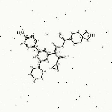 CC(CC(=O)N1CCC2(CC1)CNC2)=C(C(=O)C1CC1)c1cc(-c2cnc(N)nc2)nc(N2CCOCC2)c1